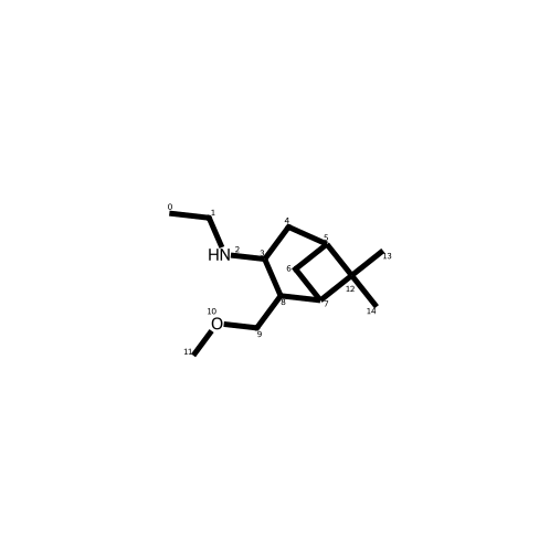 CCNC1CC2CC(C1COC)C2(C)C